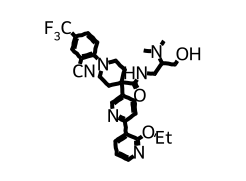 CCOc1ncccc1-c1ccc(C2(C(=O)NCC(CO)N(C)C)CCN(c3ccc(C(F)(F)F)cc3C#N)CC2)cn1